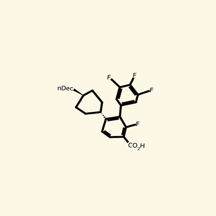 CCCCCCCCCC[C@H]1CC[C@H](c2ccc(C(=O)O)c(F)c2-c2cc(F)c(F)c(F)c2)CC1